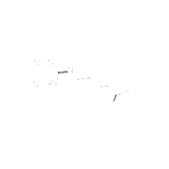 CN/C(=N/CCSCC(=O)C(C)=O)NC#N